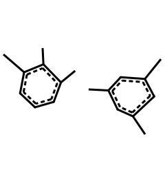 Cc1cc(C)cc(C)c1.Cc1cccc(C)c1C